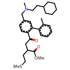 COC(=O)C(CCSC)CC(=O)c1ccc(CN(C)CCC2CCCCC2)cc1-c1ccccc1C